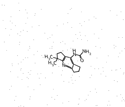 CC1(C)CCc2c1nc1c(c2NC(N)=O)CCC1